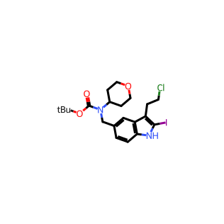 CC(C)(C)OC(=O)N(Cc1ccc2[nH]c(I)c(CCCl)c2c1)C1CCOCC1